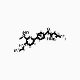 CN(N=O)c1nc(C2=CC3CCC2CN3C(=O)c2cc(C(F)(F)F)n[nH]2)ccc1NCC(C)(C)C